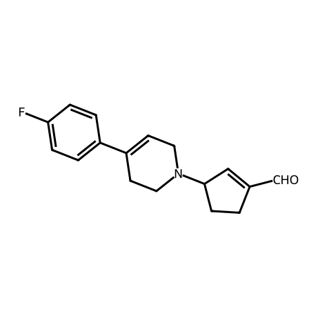 O=CC1=CC(N2CC=C(c3ccc(F)cc3)CC2)CC1